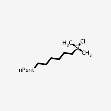 CCCCCCCCCCC[Si](C)(C)Cl